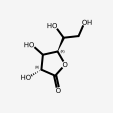 O=C1O[C@H](C(O)CO)C(O)[C@H]1O